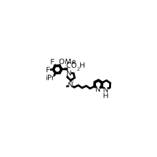 COc1c([C@@H](C(=O)O)N2CC[C@@H](N(C)CCCCCc3ccc4c(n3)NCCC4)C2)cc(C(C)C)c(F)c1F